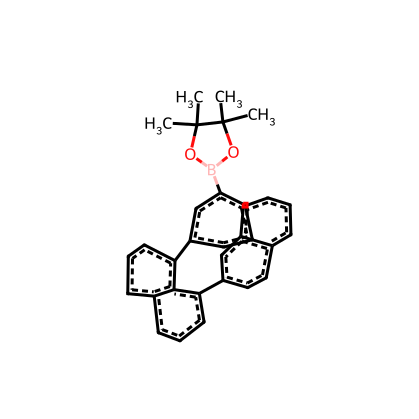 CC1(C)OB(c2cccc(-c3cccc4cccc(-c5ccc6ccccc6c5)c34)c2)OC1(C)C